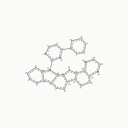 c1ccc(-c2ccnc(-n3c4ccccc4c4ccc5c6ccc7nccnc7c6sc5c43)n2)cc1